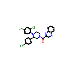 O=C(c1cnc2ccccc2n1)N1CCN(c2ccc(Cl)cc2Cl)C(c2ccc(Cl)cc2)C1